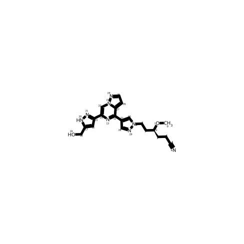 CO[C@@H](CCC#N)CCn1cc(-c2nc(-c3cc(CO)[nH]n3)cn3nccc23)cn1